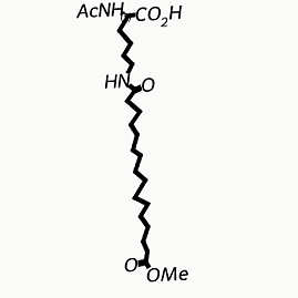 COC(=O)CCCCCCCCCCCCCCC(=O)NCCCC[C@H](NC(C)=O)C(=O)O